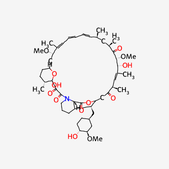 CO[C@H]1C[C@@H]2CC[C@@H](C)[C@@](O)(O2)C(=O)C(=O)N2CCCC3[C@H](C[C@@H]4CC[C@@H](O)[C@H](OC)C4)C(CC(=O)[C@H](C)/C=C(\C)[C@@H](O)[C@@H](OC)C(=O)[C@H](C)C[C@H](C)/C=C/C=C/C=C/1C)OC(=O)[C@H]32